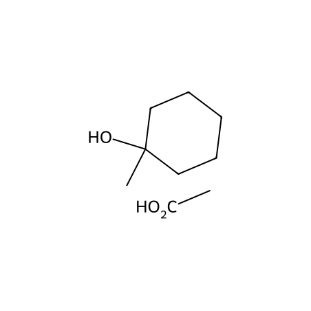 CC(=O)O.CC1(O)CCCCC1